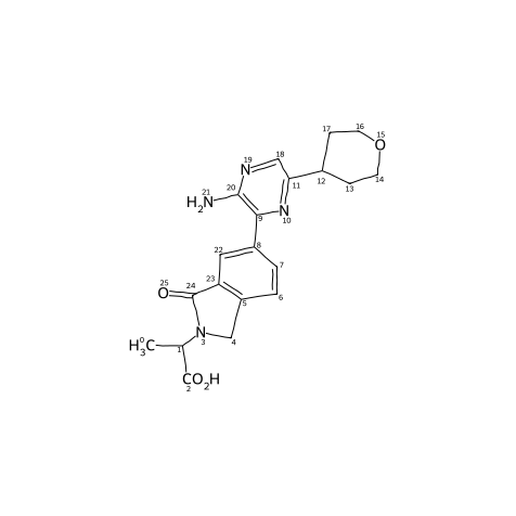 CC(C(=O)O)N1Cc2ccc(-c3nc(C4CCOCC4)cnc3N)cc2C1=O